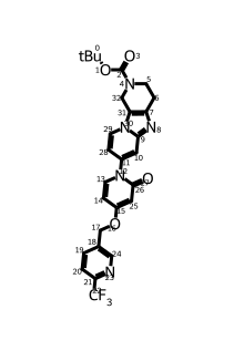 CC(C)(C)OC(=O)N1CCc2nc3cc(-n4ccc(OCc5ccc(C(F)(F)F)nc5)cc4=O)ccn3c2C1